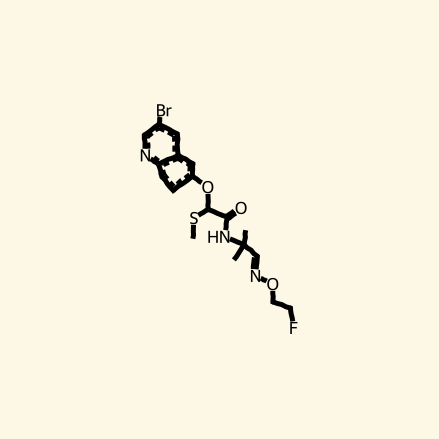 CSC(Oc1ccc2ncc(Br)cc2c1)C(=O)NC(C)(C)/C=N/OCCF